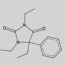 CCN1C(=O)N(CC)C(CC)(c2ccccc2)C1=O